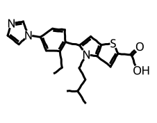 CCc1cc(-n2ccnc2)ccc1-c1cc2sc(C(=O)O)cc2n1CCC(C)C